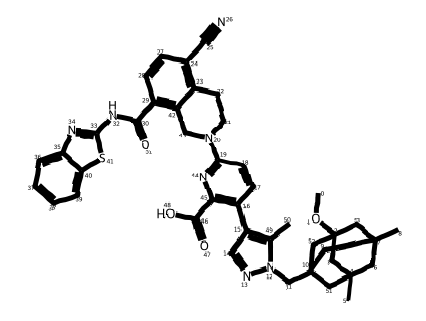 COC12CC3(C)CC(C)(CC(Cn4ncc(-c5ccc(N6CCc7c(C#N)ccc(C(=O)Nc8nc9ccccc9s8)c7C6)nc5C(=O)O)c4C)(C3)C1)C2